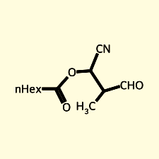 CCCCCCC(=O)OC(C#N)C(C)C=O